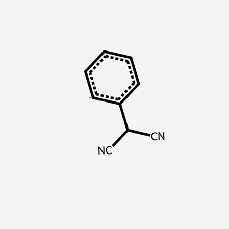 N#CC(C#N)c1[c]cccc1